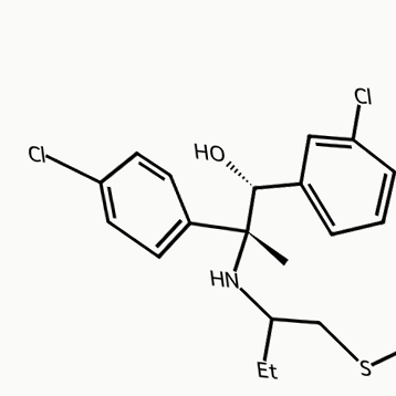 CCC(CSC(C)(C)C)N[C@](C)(c1ccc(Cl)cc1)[C@H](O)c1cccc(Cl)c1